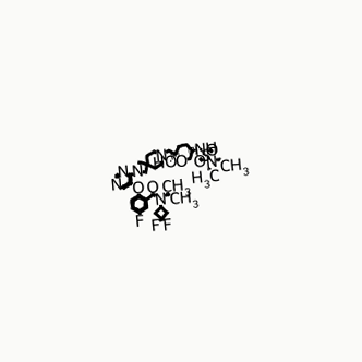 CCN(CC)S(=O)(=O)N[C@@H]1CC[C@](O)(CN2CCC3(CC2)CN(c2ncncc2Oc2ccc(F)cc2C(=O)N(C(C)C)C2CC(F)(F)C2)C3)OC1